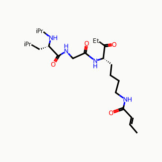 C/C=C/C(=O)NCCCC[C@H](NC(=O)CNC(=O)[C@H](CC(C)C)NC(C)C)C(=O)CC